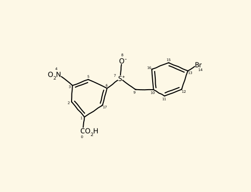 O=C(O)c1cc([N+](=O)[O-])cc([S+]([O-])Cc2ccc(Br)cc2)c1